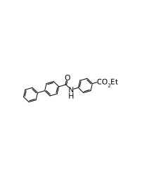 CCOC(=O)c1ccc(NC(=O)c2ccc(-c3ccccc3)cc2)cc1